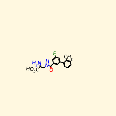 Cc1ccccc1-c1cc(F)cc(C(=O)NC[C@@H](N)C(=O)O)c1